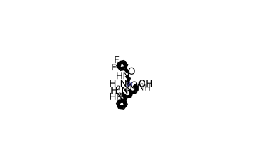 N/C(=C\N(N)C(CC(=O)NO)Cc1c[nH]c2ccccc12)CNC(=O)c1ccc(F)c(F)c1